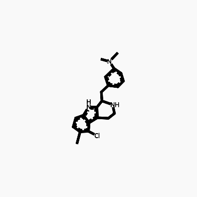 Cc1ccc2[nH]c3c(c2c1Cl)CCNC3Cc1cccc(N(C)C)c1